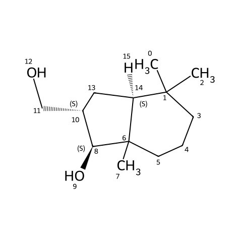 CC1(C)CCCC2(C)[C@@H](O)[C@H](CO)C[C@@H]12